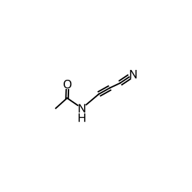 CC(=O)NC#CC#N